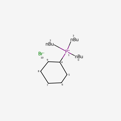 CCCC[P+](CCCC)(CCCC)C1CCCCC1.[Br-]